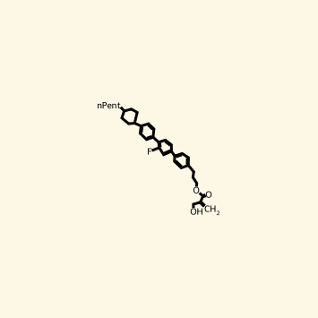 C=C(CO)C(=O)OCCCc1ccc(-c2ccc(-c3ccc(C4CCC(CCCCC)CC4)cc3)c(F)c2)cc1